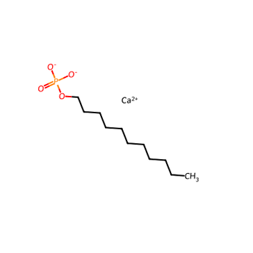 CCCCCCCCCCCOP(=O)([O-])[O-].[Ca+2]